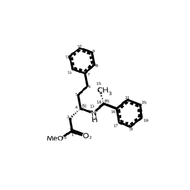 COC(=O)C[C@H](CCc1ccccc1)N[C@H](C)c1ccccc1